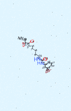 CNC(=O)C(=O)CCCCCCNC(=O)Nc1cccc(Br)c1